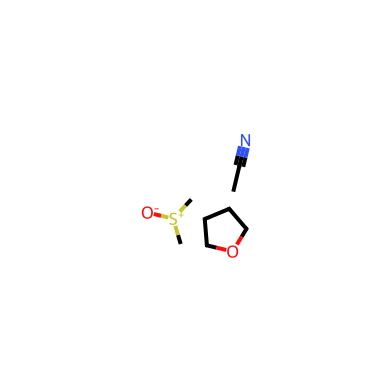 C1CCOC1.CC#N.C[S+](C)[O-]